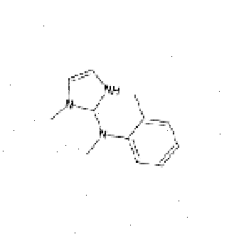 Cc1ccccc1N(C)C1NC=CN1C